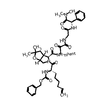 C=CCCCC[C@H](NC(=O)OCc1ccccc1)C(=O)N1C[C@@H]2OC(C)(C)C[C@@H]2[C@H]1C(=O)N[C@@H](CCCCC)C(=O)C(=O)NCC(=O)N[C@H](C(=O)N(C)C)c1ccccc1